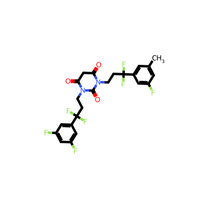 Cc1cc(F)cc(C(F)(F)CCN2C(=O)CC(=O)N(CCC(F)(F)c3cc(F)cc(F)c3)C2=O)c1